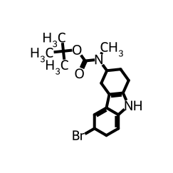 CN(C(=O)OC(C)(C)C)C1CCc2[nH]c3c(c2C1)=CC(Br)CC=3